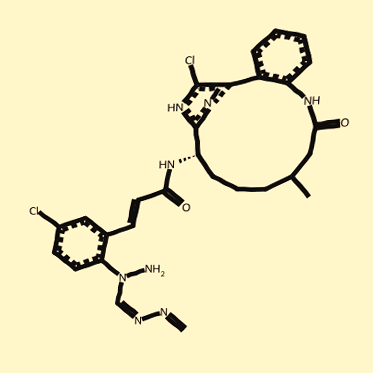 C=N/N=C\N(N)c1ccc(Cl)cc1/C=C/C(=O)N[C@H]1CCCC(C)CC(=O)Nc2ccccc2-c2nc1[nH]c2Cl